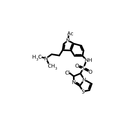 CC(=O)n1cc(CCN(C)C)c2cc(NS(=O)(=O)C3C(Cl)N=C4SC=CN43)ccc21